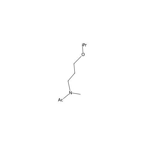 CC(=O)N(C)CCCOC(C)C